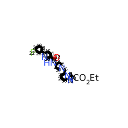 CCOC(=O)c1cn2c(CN3CCC(NC(=O)c4ccc(-c5cccc(F)c5)nc4)CC3)cccc2n1